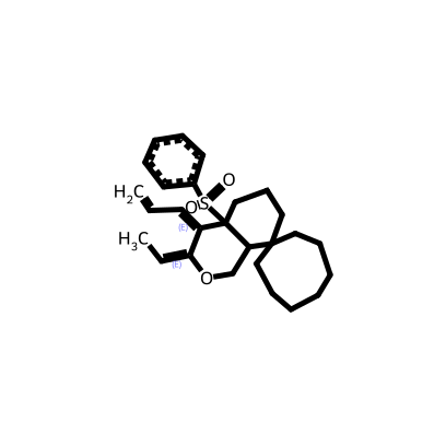 C=C/C=C1\C(=C/C)OCC2C3(CCCCCCC3)CCCC12S(=O)(=O)c1ccccc1